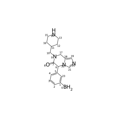 Bc1cccc(C2C(=O)N(CC3CCNCC3)Cc3cncn32)c1